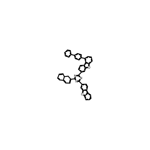 C1=CC2=CC=C(c3nc(-c4ccc5c(c4)oc4ccccc45)nc(-c4ccc5c(c4)oc4cccc(-c6ccc(-c7ccccc7)cc6)c45)n3)CC2C=C1